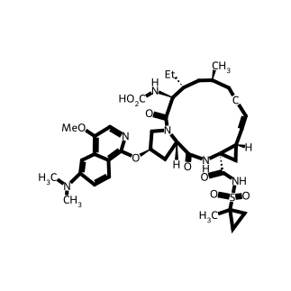 CC[C@@H]1C[C@@H](C)CCC=C[C@@H]2C[C@@]2(C(=O)NS(=O)(=O)C2(C)CC2)NC(=O)[C@@H]2C[C@@H](Oc3ncc(OC)c4cc(N(C)C)ccc34)CN2C(=O)[C@H]1NC(=O)O